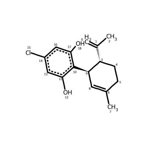 C=C(C)[C@@H]1CCC(C)=C[C@H]1c1c(O)cc(Cl)cc1O